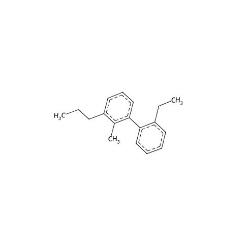 CCCc1cccc(-c2ccccc2CC)c1C